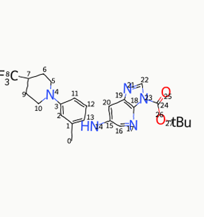 Cc1cc(N2CCC(C(F)(F)F)CC2)ccc1Nc1cnc2c(c1)ncn2C(=O)OC(C)(C)C